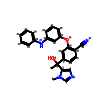 Cn1cncc1C(C)(O)c1ccc(C#N)c(Oc2cccc(Nc3ccccc3)c2)c1